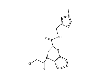 Cn1cc(CNC(=O)C2CN(C(=O)CCl)c3ccccc3O2)cn1